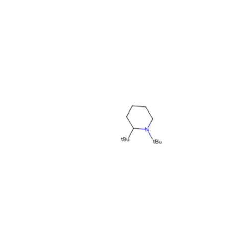 CC(C)(C)C1CCCCN1C(C)(C)C